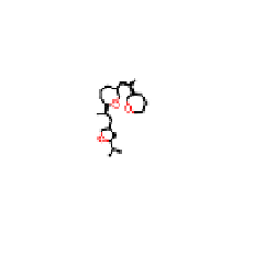 CC(C)C1CC(CC(C)C2CCCC(CC(C)C3CCCCOC3)CO2)CO1